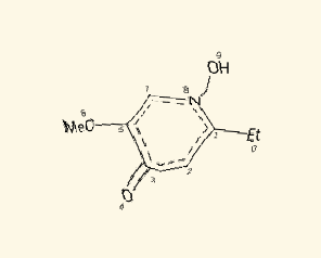 CCc1cc(=O)c(OC)cn1O